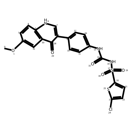 COc1ccc2[nH]cc(-c3ccc(NC(=O)NS(=O)(=O)c4ccc(Cl)s4)cc3)c(=O)c2c1